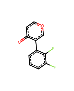 O=c1ccocc1-c1cccc(F)c1F